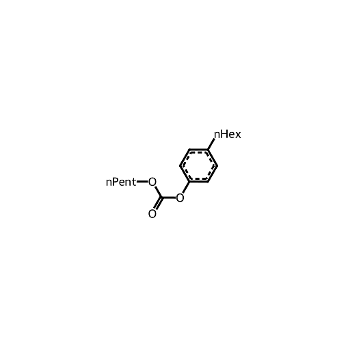 CCCCCCc1ccc(OC(=O)OCCCCC)cc1